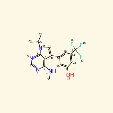 CNc1ncnc2c1c(-c1cc(O)cc(C(F)(F)F)c1)cn2C(C)C